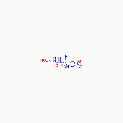 N#CC1C(NC(=O)NCCCO)SNC1C1C=CC([N+](=O)[O-])=CC1